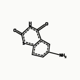 Nc1ccc2sc(=O)[nH]c(=O)c2c1